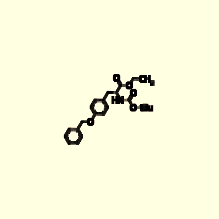 C=COC(=O)[C@H](Cc1ccc(OCc2ccccc2)cc1)NC(=O)OC(C)(C)C